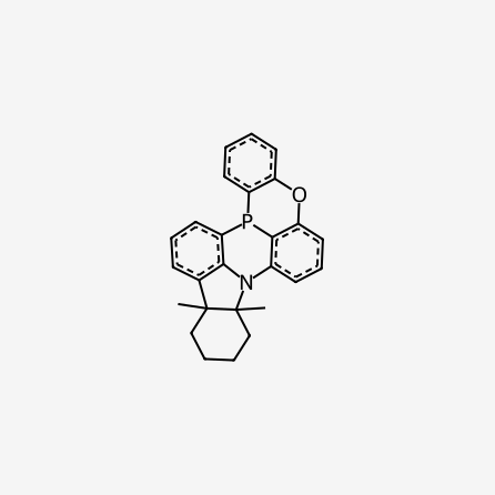 CC12CCCCC1(C)N1c3cccc4c3P(c3ccccc3O4)c3cccc2c31